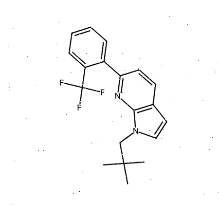 CC(C)(C)Cn1ccc2ccc(-c3ccccc3C(F)(F)F)nc21